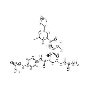 CC(=O)N[C@@H](CCCCN)C(=O)N[C@H](C(=O)N[C@@H](CCCNC(N)=O)C(=O)Nc1ccc(COC(=O)P)cc1)C(C)C